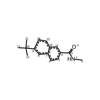 CNC(=O)c1ccc2cc(C(C)(C)C)ccc2c1